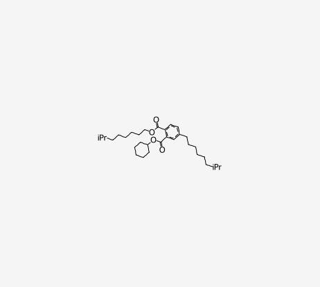 CC(C)CCCCCCOC(=O)c1ccc(CCCCCCC(C)C)cc1C(=O)OC1CCCCC1